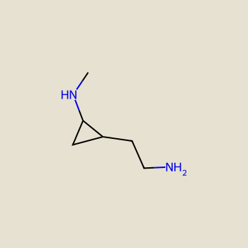 CNC1CC1CCN